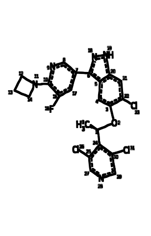 C[C@@H](Oc1cc2c(-c3cnc(N4CCC4)c(F)c3)n[nH]c2cc1Cl)c1c(Cl)cncc1Cl